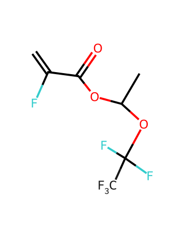 C=C(F)C(=O)OC(C)OC(F)(F)C(F)(F)F